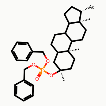 CC(=O)[C@H]1CCC2C3CCC4C[C@](C)(OP(=O)(OCc5ccccc5)OCc5ccccc5)CC[C@]4(C)C3CC[C@@]21C